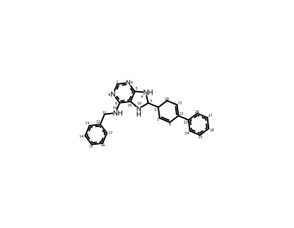 C1=CC(C2Nc3ncnc(NCc4ccccc4)c3N2)CC=C1c1ccccc1